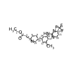 CCOC(=O)/C=C/c1ccc(-c2cc(C)cc(Nc3nccc(C(F)(F)F)n3)c2)cn1